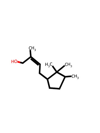 CC(=CCC1CCC(C)C1(C)C)CO